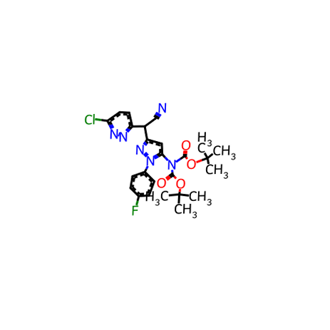 CC(C)(C)OC(=O)N(C(=O)OC(C)(C)C)c1cc(C(C#N)c2ccc(Cl)nn2)nn1-c1ccc(F)cc1